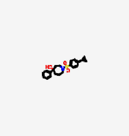 O=S(=O)(c1ccc(C2CC2)cc1)N1CCCC(O)(c2ccccc2)CC1